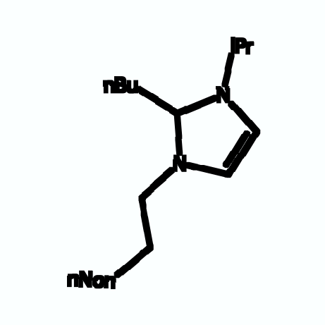 CCCCCCCCCCCN1C=CN(C(C)C)C1CCCC